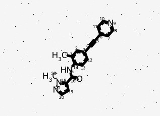 Cc1cc(C#Cc2ccncc2)ccc1NC(=O)c1ccnn1C